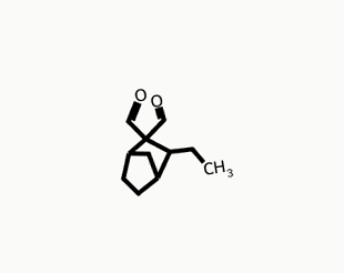 CCC1C2CCC(C2)C1(C=O)C=O